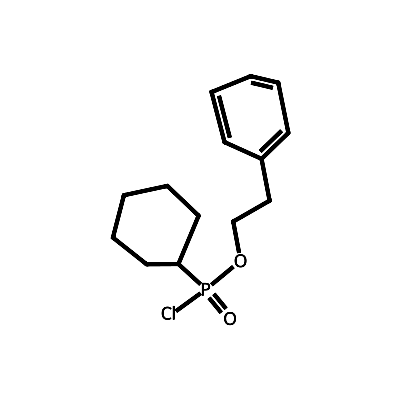 O=P(Cl)(OCCc1ccccc1)C1CCCCC1